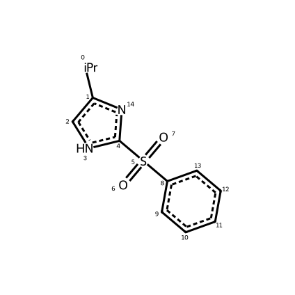 CC(C)c1c[nH]c(S(=O)(=O)c2ccccc2)n1